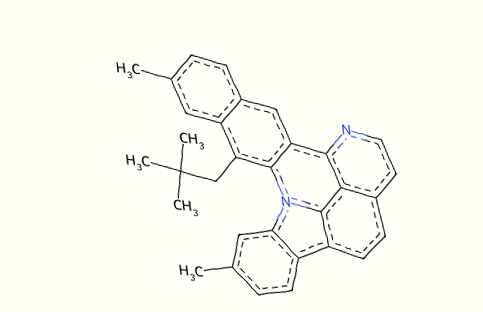 Cc1ccc2cc3c4nccc5ccc6c7ccc(C)cc7n(c3c(CC(C)(C)C)c2c1)c6c54